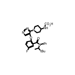 CC(C)N(C(=O)c1cc(F)ccc1Oc1cncnc1N1CCC(NC(=O)O)CC1)C(C)C(C)(C)C